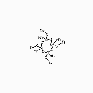 CCC[Si]1(OCC)O[Si](CCC)(OCC)O[Si](CCC)(OCC)O[Si](CCC)(OCC)O1